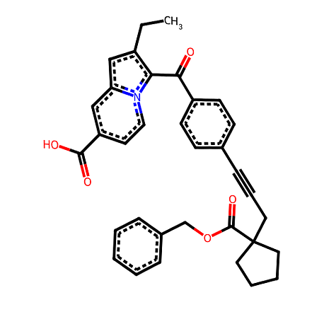 CCc1cc2cc(C(=O)O)ccn2c1C(=O)c1ccc(C#CCC2(C(=O)OCc3ccccc3)CCCC2)cc1